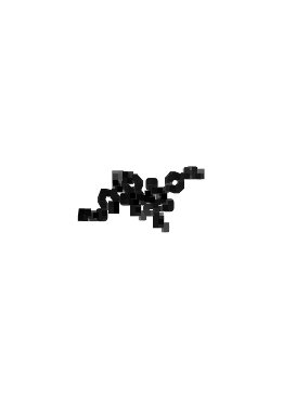 COc1ccc(Nc2cc(CN3C(=O)N(c4ccc(C(C)(C)C)cc4)C(=O)C3(C)C)ccn2)c(OC)n1